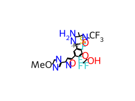 COc1cnc(-c2cc(-c3ccc(F)c([C@]4(C)CS(=O)(=NCC(F)(F)F)C(C)(C)C(N)=N4)c3)on2)cn1.O=C(O)C(F)(F)F